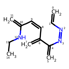 C=C/N=N\C(=C)C(=C)/C=C\C(=C)NCC